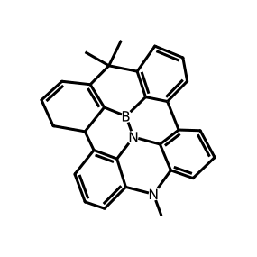 CN1c2cccc3c2N2B4C5=C(C=CCC5c5cccc1c52)C(C)(C)c1cccc-3c14